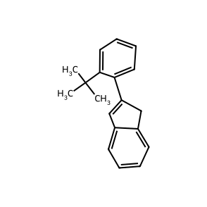 CC(C)(C)c1ccccc1C1=Cc2ccccc2C1